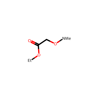 [CH2]NOCC(=O)OCC